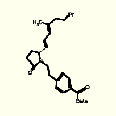 COC(=O)c1ccc(CCN2C(=O)CC[C@@H]2/C=C/C=C(\C)CCC(C)C)cc1